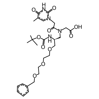 Cc1cn(CC(=O)N(CC(=O)O)C[C@@H](COCCOCCOCc2ccccc2)NC(=O)OC(C)(C)C)c(=O)[nH]c1=O